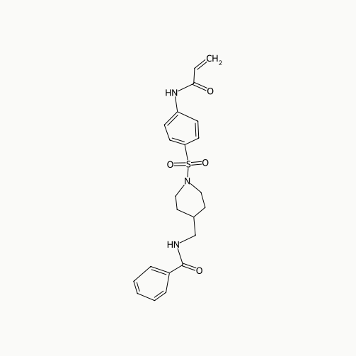 C=CC(=O)Nc1ccc(S(=O)(=O)N2CCC(CNC(=O)c3ccccc3)CC2)cc1